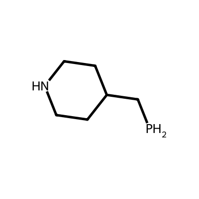 PCC1CCNCC1